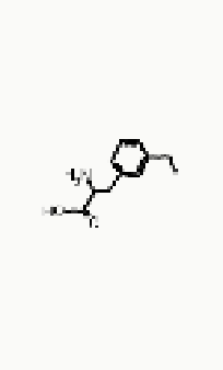 NC(Cc1cccc(CF)c1)C(=O)O